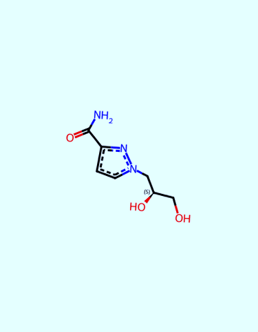 NC(=O)c1ccn(C[C@H](O)CO)n1